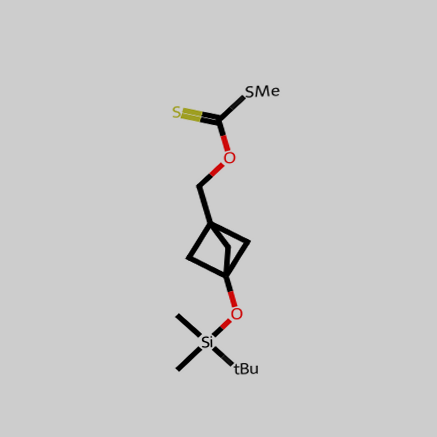 CSC(=S)OCC12CC(O[Si](C)(C)C(C)(C)C)(C1)C2